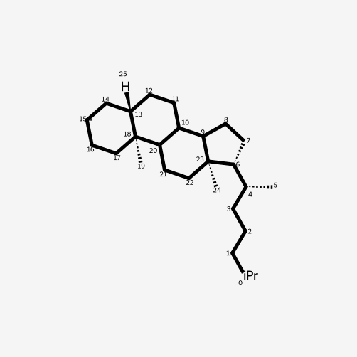 CC(C)CCC[C@@H](C)[C@H]1CCC2C3CC[C@H]4C[CH]CC[C@]4(C)C3CC[C@@]21C